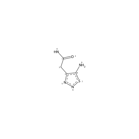 [NH]C(=O)Cc1nnsc1N